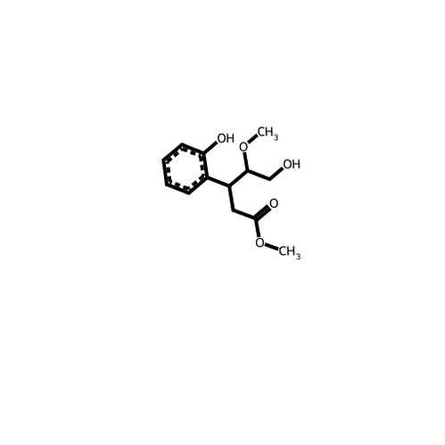 COC(=O)CC(c1ccccc1O)C(CO)OC